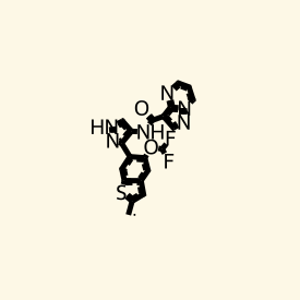 [CH2]c1cc2cc(OC(F)F)c(-c3n[nH]cc3NC(=O)c3cnn4cccnc34)cc2s1